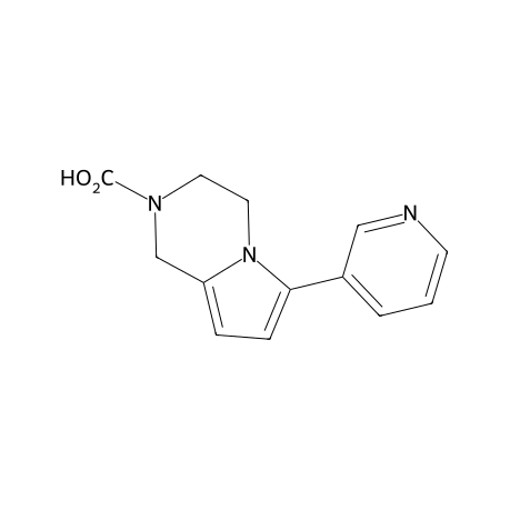 O=C(O)N1CCn2c(ccc2-c2cccnc2)C1